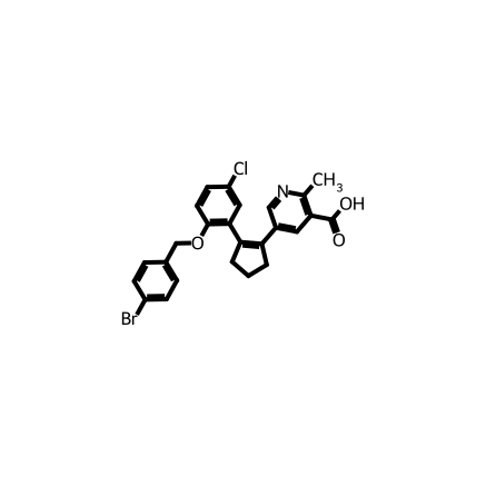 Cc1ncc(C2=C(c3cc(Cl)ccc3OCc3ccc(Br)cc3)CCC2)cc1C(=O)O